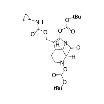 CC(C)(C)OC(=O)OC1=C(COC(=O)NC2CC2)C2CCN(OC(=O)OC(C)(C)C)[C@@H]3C(=O)N1[C@H]23